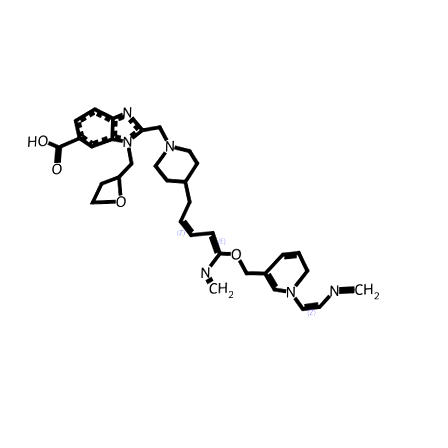 C=N/C=C\N1C=C(CO/C(=C/C=C\CC2CCN(Cc3nc4ccc(C(=O)O)cc4n3CC3CCO3)CC2)N=C)C=CC1